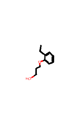 CCc1ccccc1OCCCO